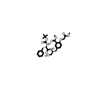 COC(=O)COc1ccc(C[C@@H](CO)NC(=O)[C@H](Cc2ccccc2)NC(=O)OC(C)(C)C)cc1C(=O)OC